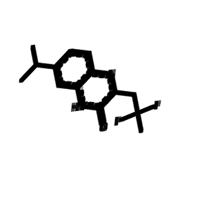 CC(C)c1ccc2nc(CC(C)(F)F)c(=O)[nH]c2c1